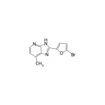 Cc1ccnc2[nH]c(-c3ccc(Br)o3)nc12